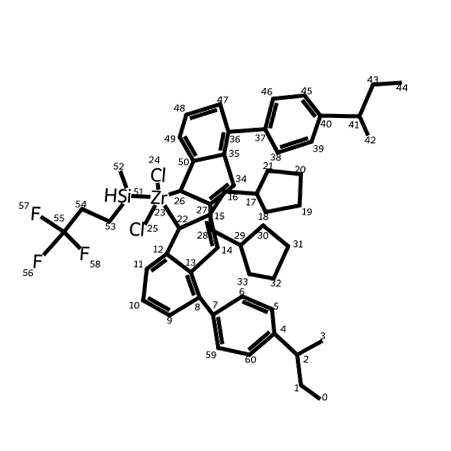 CCC(C)c1ccc(-c2cccc3c2C=C(CC2CCCC2)[CH]3[Zr]([Cl])([Cl])([CH]2C(CC3CCCC3)=Cc3c(-c4ccc(C(C)CC)cc4)cccc32)[SiH](C)CCC(F)(F)F)cc1